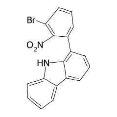 O=[N+]([O-])c1c(Br)cccc1-c1cccc2c1[nH]c1ccccc12